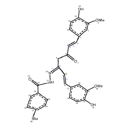 COc1cc(/C=C/C(=O)CC(/C=C/c2ccc(O)c(OC)c2)=N/NC(=O)c2ccc(C(C)(C)C)cc2)ccc1O